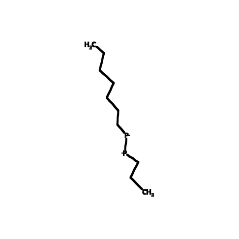 CCCCCCC[P][P]CCC